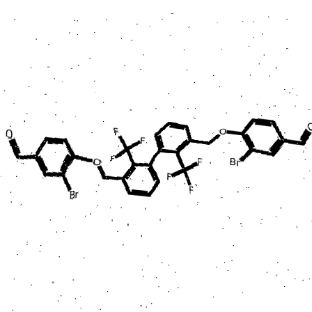 O=Cc1ccc(OCc2cccc(-c3cccc(COc4ccc(C=O)cc4Br)c3C(F)(F)F)c2C(F)(F)F)c(Br)c1